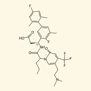 CCCC(C(=O)N[C@@H](CC(=O)O)c1cc(-c2c(C)cc(F)cc2C)cc(C)c1F)n1cc(CCN(C)C)c(C(F)(F)F)cc1=O